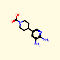 Nc1cc(C2CCN(C(=O)O)CC2)cnc1N